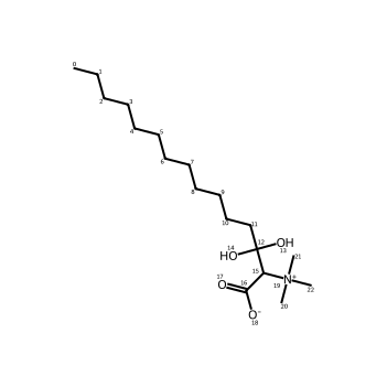 CCCCCCCCCCCCC(O)(O)C(C(=O)[O-])[N+](C)(C)C